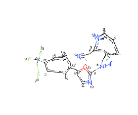 N#Cc1ncccc1Nc1ncc(-c2ccc(C(F)(F)F)cc2)o1